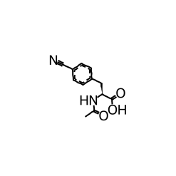 CC(=O)N[C@@H](Cc1ccc(C#N)cc1)C(=O)O